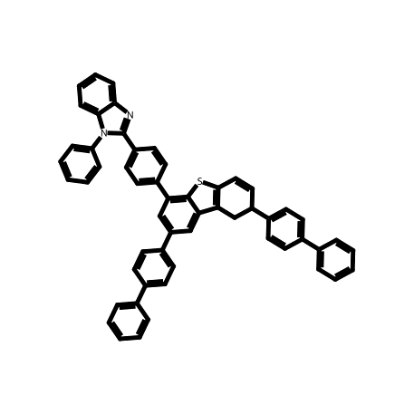 C1=CC(c2ccc(-c3ccccc3)cc2)Cc2c1sc1c(-c3ccc(-c4nc5ccccc5n4-c4ccccc4)cc3)cc(-c3ccc(-c4ccccc4)cc3)cc21